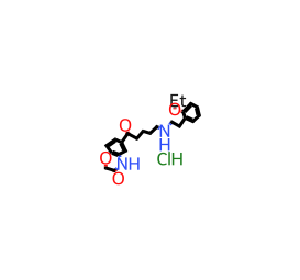 CCOc1ccccc1CCNCCCCC(=O)c1ccc2c(c1)NC(=O)CO2.Cl